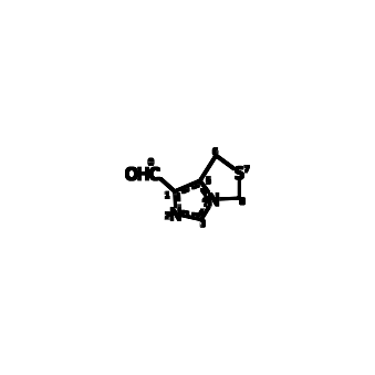 O=Cc1ncn2c1CSC2